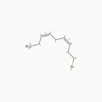 CC/C=C\C/C=C\CCBr